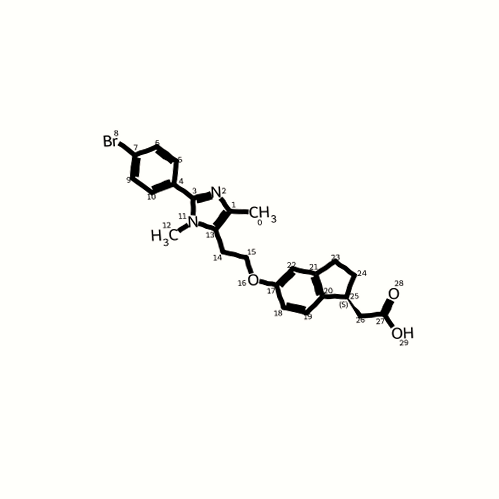 Cc1nc(-c2ccc(Br)cc2)n(C)c1CCOc1ccc2c(c1)CC[C@H]2CC(=O)O